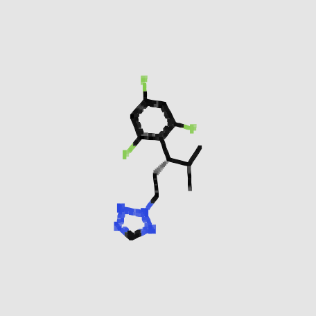 CC(C)[C@H](CCn1ncnn1)c1c(F)cc(F)cc1F